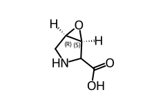 O=C(O)C1NC[C@H]2O[C@@H]12